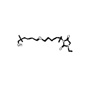 CCN1CC(=O)N(C(C)(C)CCCCOCCCCC(C)(C)CO)C1=O